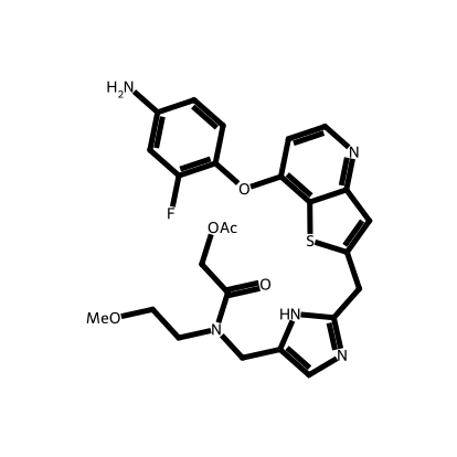 COCCN(Cc1cnc(Cc2cc3nccc(Oc4ccc(N)cc4F)c3s2)[nH]1)C(=O)COC(C)=O